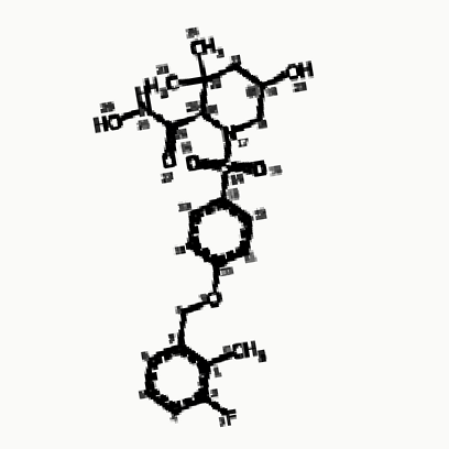 Cc1c(F)cccc1COc1ccc(S(=O)(=O)N2C[C@H](O)CC(C)(C)[C@@H]2C(=O)NO)cc1